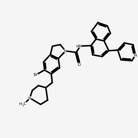 CN1CCC(Cc2cc3c(cc2Br)CCN3C(=O)Nc2ccc(-c3ccncc3)c3ccccc23)CC1